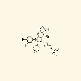 COC(=O)C1CC2(C1)CC(c1c(C3CCOCC3)n(-c3ccc(F)c(F)c3)c3cc4cn[nH]c4c(Br)c13)C2